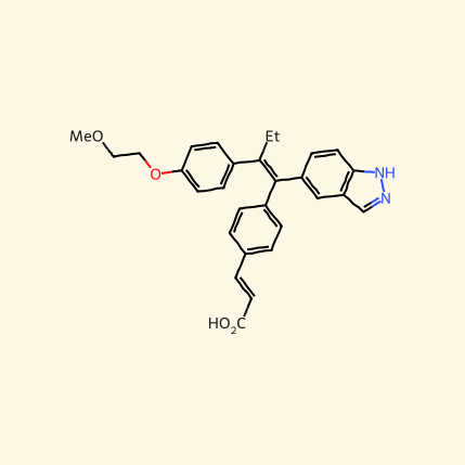 CC/C(=C(/c1ccc(/C=C/C(=O)O)cc1)c1ccc2[nH]ncc2c1)c1ccc(OCCOC)cc1